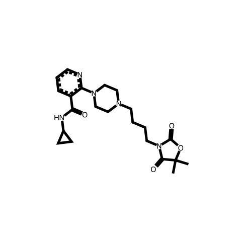 CC1(C)OC(=O)N(CCCCN2CCN(c3ncccc3C(=O)NC3CC3)CC2)C1=O